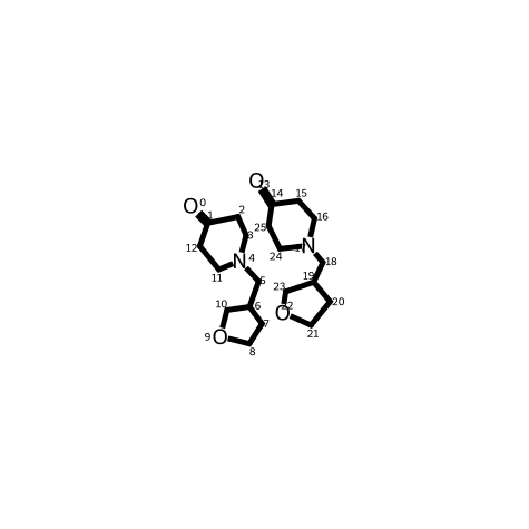 O=C1CCN(CC2CCOC2)CC1.O=C1CCN(CC2CCOC2)CC1